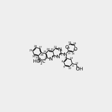 O=C(O)c1nc2nc(N(C3=CC=CC(CO)C3)C3=COC=CO3)ncc2cc1-c1ccccc1Br